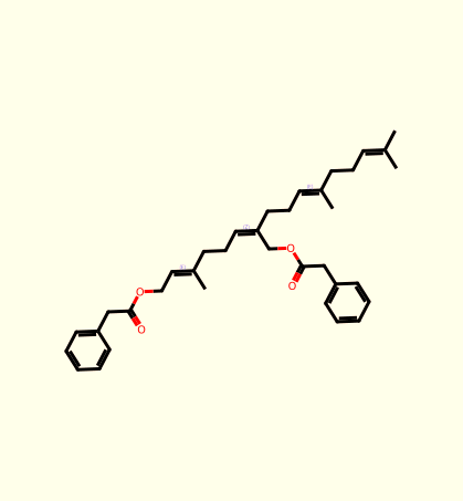 CC(C)=CCC/C(C)=C/CC/C(=C/CC/C(C)=C/COC(=O)Cc1ccccc1)COC(=O)Cc1ccccc1